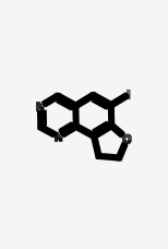 Ic1cc2cncnc2c2c1OCC2